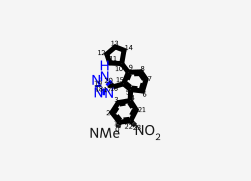 CNc1ccc(-c2cccc(C3CCCC3)c2-c2nnn[nH]2)cc1[N+](=O)[O-]